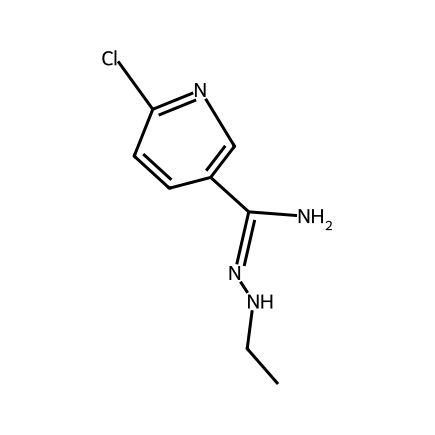 CCN/N=C(\N)c1ccc(Cl)nc1